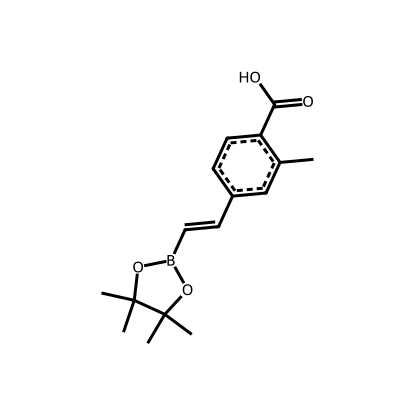 Cc1cc(C=CB2OC(C)(C)C(C)(C)O2)ccc1C(=O)O